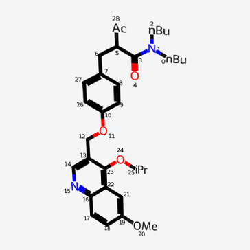 CCCCN(CCCC)C(=O)C(Cc1ccc(OCc2cnc3ccc(OC)cc3c2OC(C)C)cc1)C(C)=O